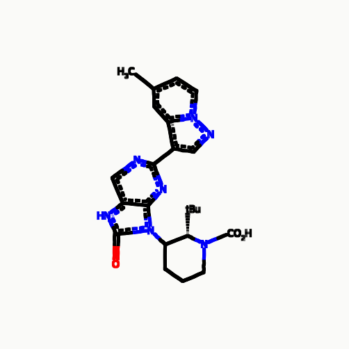 Cc1ccn2ncc(-c3ncc4[nH]c(=O)n(C5CCCN(C(=O)O)[C@H]5C(C)(C)C)c4n3)c2c1